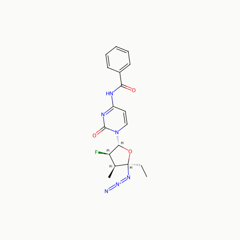 CC[C@@]1(N=[N+]=[N-])O[C@@H](n2ccc(NC(=O)c3ccccc3)nc2=O)[C@H](F)[C@@H]1C